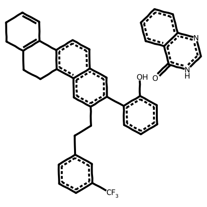 O=c1[nH]cnc2ccccc12.Oc1ccccc1-c1cc2ccc3c(c2cc1CCc1cccc(C(F)(F)F)c1)CCC1=C3C=CCC1